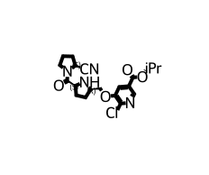 CC(C)OC(=O)c1cnc(Cl)c(OC[C@H]2CC[C@@H](C(=O)N3CCC[C@H]3C#N)N2)c1